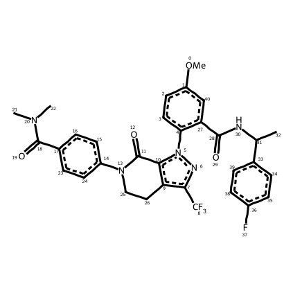 COc1ccc(-n2nc(C(F)(F)F)c3c2C(=O)N(c2ccc(C(=O)N(C)C)cc2)CC3)c(C(=O)NC(C)c2ccc(F)cc2)c1